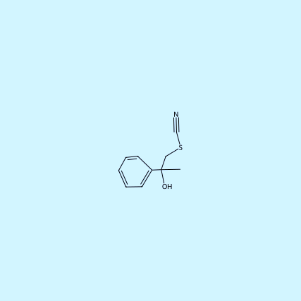 CC(O)(CSC#N)c1ccccc1